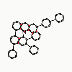 c1ccc(-c2ccc(-c3ccc(N(c4ccccc4-c4ccc(-c5ccccc5)cc4)c4cccc(-c5ccccc5)c4-c4ccccc4-c4ccccc4)cc3)cc2)cc1